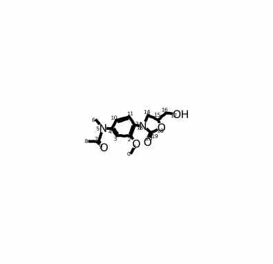 COc1cc(N(C)C(C)=O)ccc1N1CC(CO)OC1=O